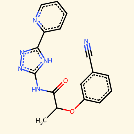 CC(Oc1cccc(C#N)c1)C(=O)Nc1nnc(-c2ccccn2)[nH]1